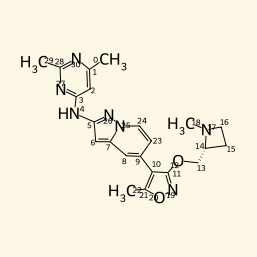 Cc1cc(Nc2cc3cc(-c4c(OC[C@H]5CCN5C)noc4C)ccn3n2)nc(C)n1